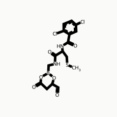 CSCC(NC(=O)c1cc(Cl)ccc1Cl)C(=O)NCB1OC(=O)CC(C=O)O1